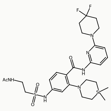 CC(=O)NCCS(=O)(=O)Nc1ccc(C(=O)Nc2cccc(N3CCC(F)(F)CC3)n2)c(N2CC[Si](C)(C)CC2)c1